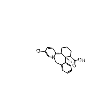 O=C(O)[C@@H]1CCCC2=C3C=CC(Cl)=CN3Cc3ccccc3[C@H]21